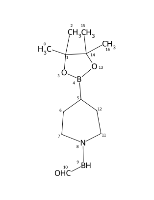 CC1(C)OB(C2CCN(BC=O)CC2)OC1(C)C